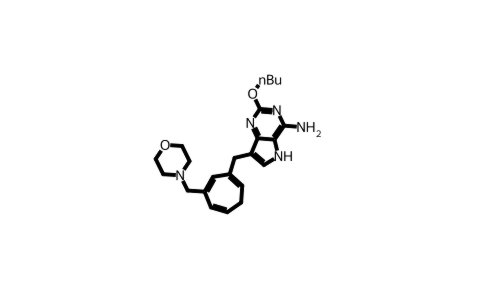 CCCCOc1nc(N)c2[nH]cc(CC3=CCC=CC(CN4CCOCC4)=C3)c2n1